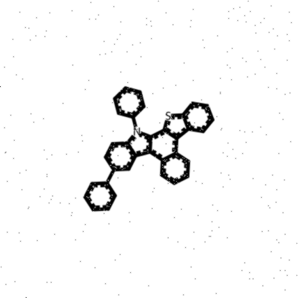 c1ccc(-c2ccc3c(c2)c2c4ccccc4c4c5ccccc5sc4c2n3-c2ccccc2)cc1